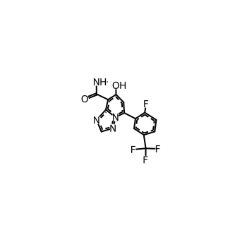 [NH]C(=O)c1c(O)cc(-c2cc(C(F)(F)F)ccc2F)n2ncnc12